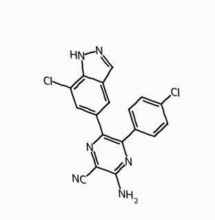 N#Cc1nc(-c2cc(Cl)c3[nH]ncc3c2)c(-c2ccc(Cl)cc2)nc1N